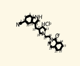 Cl.N#Cc1ccc2[nH]cc(CC3CCN(CCn4ncc5ccccc5c4=O)C3)c2c1